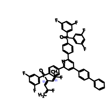 C=C(F)/C=C(\C=C(/C)F)P(=O)(c1ccc(-c2cc(-c3ccc(-c4ccccc4)cc3)cc(-c3ccc(P(=O)(c4cc(F)cc(F)c4)c4cc(F)cc(F)c4)cc3)n2)cc1)c1cc(F)cc(F)c1